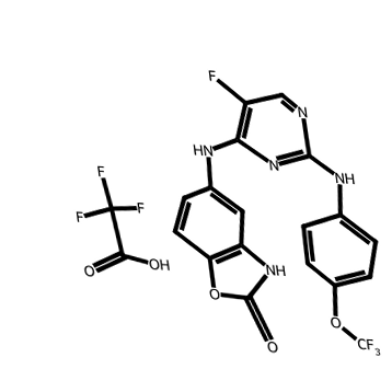 O=C(O)C(F)(F)F.O=c1[nH]c2cc(Nc3nc(Nc4ccc(OC(F)(F)F)cc4)ncc3F)ccc2o1